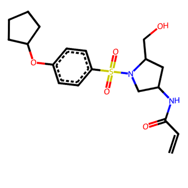 C=CC(=O)NC1CC(CO)N(S(=O)(=O)c2ccc(OC3CCCC3)cc2)C1